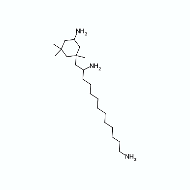 CC1(C)CC(N)CC(C)(CC(N)CCCCCCCCCCCN)C1